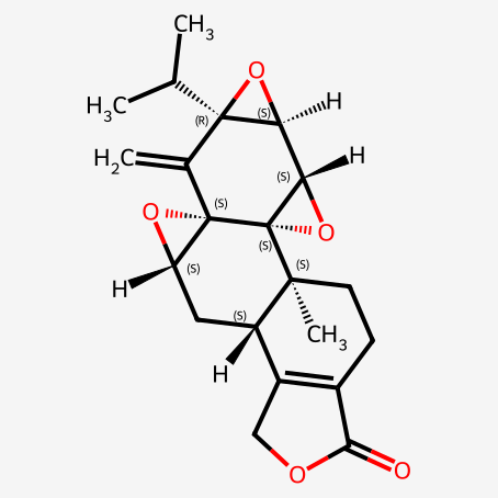 C=C1[C@@]2(C(C)C)O[C@H]2[C@@H]2O[C@@]23[C@@]2(C)CCC4=C(COC4=O)[C@@H]2C[C@@H]2O[C@@]123